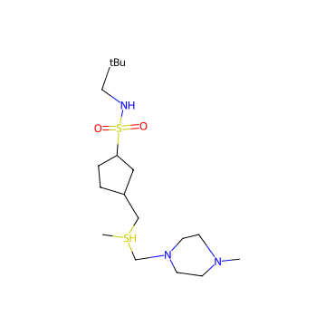 CN1CCN(C[SH](C)CC2CCC(S(=O)(=O)NCC(C)(C)C)C2)CC1